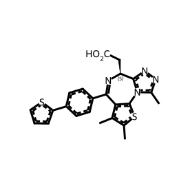 Cc1sc2c(c1C)C(c1ccc(-c3cccs3)cc1)=N[C@@H](CC(=O)O)c1nnc(C)n1-2